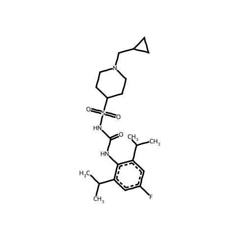 CC(C)c1cc(F)cc(C(C)C)c1NC(=O)NS(=O)(=O)C1CCN(CC2CC2)CC1